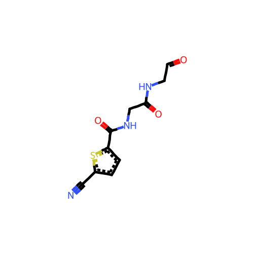 N#Cc1ccc(C(=O)NCC(=O)NCC=O)s1